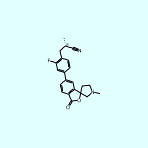 C[C@H](C#N)Cc1ccc(-c2ccc3c(c2)C2(CCN(C)C2)OC3=O)cc1F